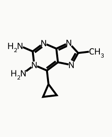 Cc1nc2nc(N)n(N)c(C3CC3)c-2n1